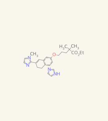 CCOC(=O)C(C)(C)CCCOc1ccc2c(c1)C=C(c1nccn1C)CC2.c1c[nH]cn1